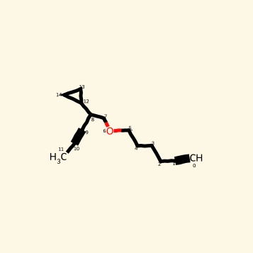 C#CCCC[CH]OCC(C#CC)C1CC1